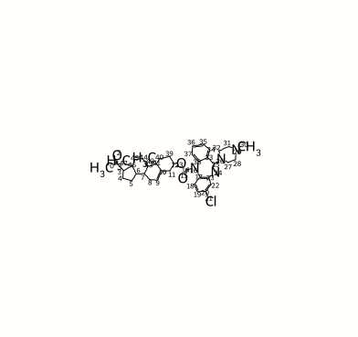 CC(=O)C1CCC2C3CC=C4CC(OC(=O)N5c6ccc(Cl)cc6N=C(N6CCN(C)CC6)c6ccccc65)CCC4(C)C3CCC12C